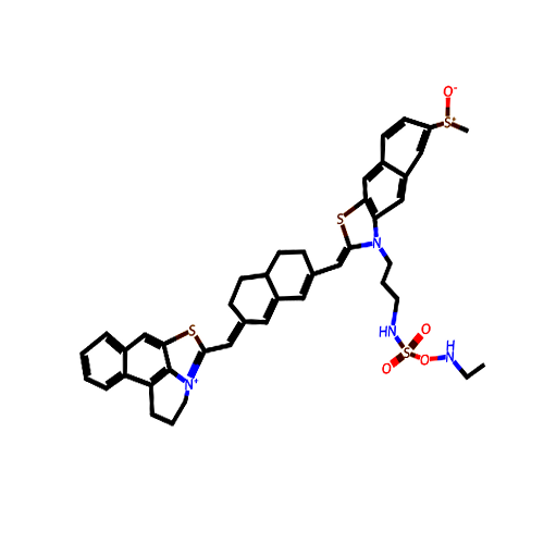 CCNOS(=O)(=O)NCCCN1/C(=C/C2=CC3=C/C(=C/c4sc5cc6ccccc6c6c5[n+]4CCC6)CCC3CC2)Sc2cc3ccc([S+](C)[O-])cc3cc21